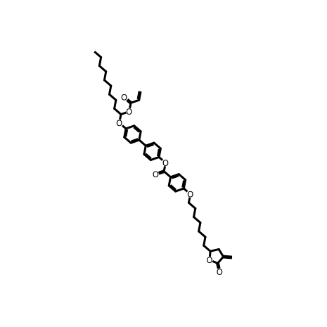 C=CC(=O)OC(CCCCCCCCC)Oc1ccc(-c2ccc(OC(=O)c3ccc(OCCCCCCCC4CC(=C)C(=O)O4)cc3)cc2)cc1